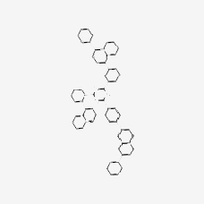 c1ccc(-c2ccc3ccc(-c4ccc(-c5nc(-c6cccc(-c7ccc(-c8ccccc8)c8ccccc78)c6)nc(-c6ccccc6-c6cccc7ccccc67)n5)cc4)cc3c2)cc1